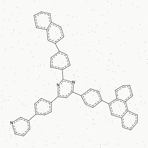 c1cncc(-c2ccc(-c3cc(-c4ccc(-c5cc6ccccc6c6ccccc56)cc4)nc(-c4ccc(-c5ccc6ccccc6c5)cc4)n3)cc2)c1